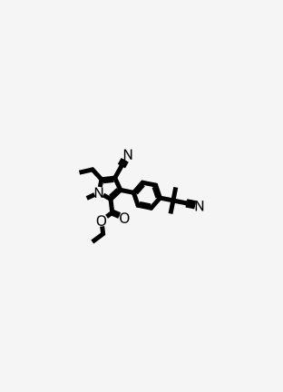 CCOC(=O)c1c(-c2ccc(C(C)(C)C#N)cc2)c(C#N)c(CC)n1C